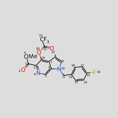 COC(=O)c1ncc2c(ccn2Cc2ccc(F)cc2)c1OC(=O)C(F)(F)F